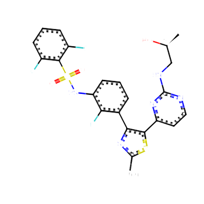 C[C@H](O)CNc1nccc(-c2sc(C(C)(C)C)nc2-c2cccc(NS(=O)(=O)c3c(F)cccc3F)c2F)n1